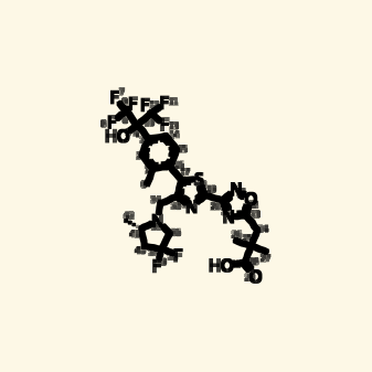 Cc1cc(C(O)(C(F)(F)F)C(F)(F)F)ccc1-c1sc(-c2noc(CC(C)(C)C(=O)O)n2)nc1CN1CC(F)(F)C[C@@H]1C